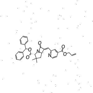 C=CCOC(=O)c1ccnc(/C=C2/C(=O)N3C2CC(C)(C)[C@@H]3C(=O)OC(c2ccccc2)c2ccccc2)c1